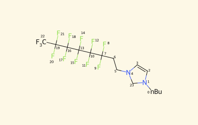 CCCCN1C=CN(CCC(F)(F)C(F)(F)C(F)(F)C(F)(F)C(F)(F)C(F)(F)F)C1